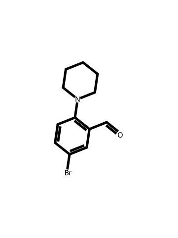 O=Cc1cc(Br)ccc1N1CCCCC1